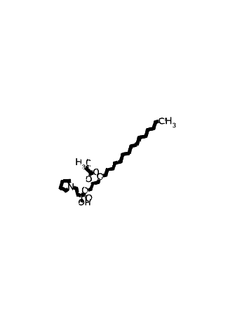 CCCCCCCCCCCCCCCOCC(COP(=O)(O)CCN1CCCC1)OC(=O)CC